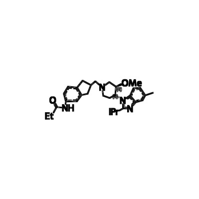 CCC(=O)Nc1ccc2c(c1)CC(CN1CC[C@@H](n3c(C(C)C)nc4cc(C)ccc43)[C@H](OC)C1)C2